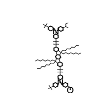 CCCCCCCCC1(CCCCCCCC)c2cc(C(C)(C)C(C)(C)c3ccc(N(c4ccc(C=O)cc4)c4ccc(C(C)(C)C)cc4)cc3)ccc2-c2cc3c(cc21)-c1ccc(C(C)(C)C(C)(C)c2ccc(N(c4ccc(C(C)CC)cc4)c4ccc(C(C)(C)C)cc4)cc2)cc1C3(CCCCCCCC)CCCCCCCC